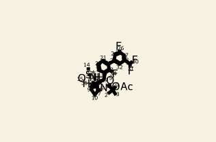 CC(=O)OC(C)(C)C(=O)N1C2CC(C2)[C@H](N[S+](C)[O-])[C@@H]1Cc1cccc(-c2cc(F)cc(C(F)F)c2)c1F